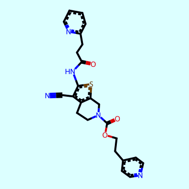 N#Cc1c(NC(=O)CCc2ccccn2)sc2c1CCN(C(=O)OCCc1ccncc1)C2